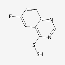 Fc1ccc2ncnc(SS)c2c1